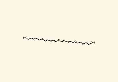 OCCOCCOCCOC=COC=COCCOCCOCCO